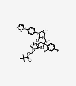 C[C@@H](N1CCN(c2ccc(-n3ccnn3)cc2)C1=O)[C@@](O)(CN1CN(COC(=O)C(C)(C)C)[C+]=N1)c1ccc(F)cc1F.[Cl-]